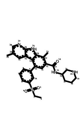 CCS(=O)(=O)c1cccc(-c2cc(C(=O)NC3CCCNC3)c(C)c3[nH]c4ncc(C)cc4c23)c1